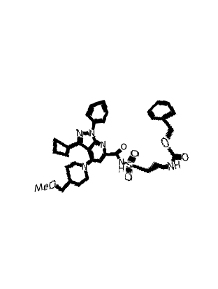 COCC1CCN(c2cc(C(=O)NS(=O)(=O)CCNC(=O)OCc3ccccc3)nc3c2c(C2CCC2)nn3-c2ccccc2)CC1